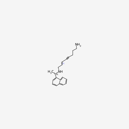 C[C@@H](NC/C=C/C#CCCCN)c1cccc2ccccc12